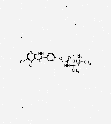 CN(C)CC(C)(C)NC(=O)COc1ccc(-c2nc3c(Cl)c(Cl)cnc3[nH]2)cc1